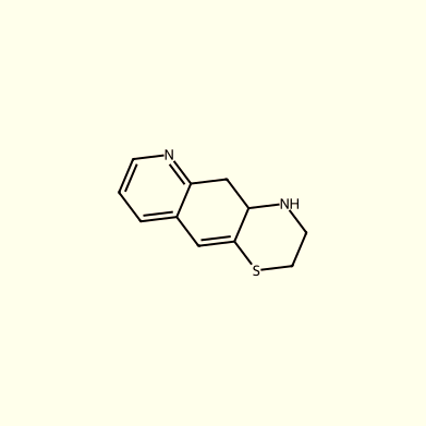 C1=C2SCCNC2Cc2ncccc21